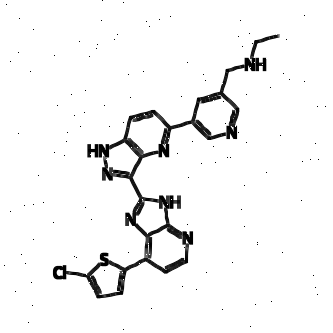 CCNCc1cncc(-c2ccc3[nH]nc(-c4nc5c(-c6ccc(Cl)s6)ccnc5[nH]4)c3n2)c1